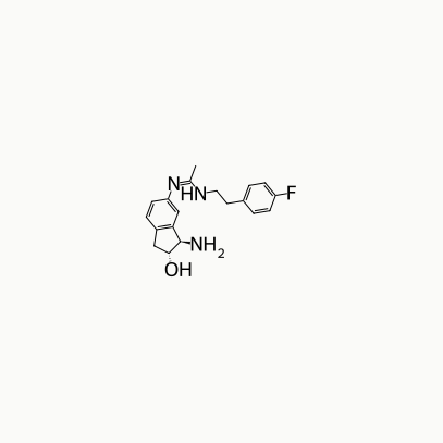 CC(=Nc1ccc2c(c1)[C@@H](N)[C@H](O)C2)NCCc1ccc(F)cc1